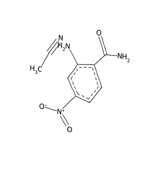 CC#N.NC(=O)c1ccc([N+](=O)[O-])cc1N